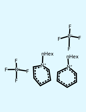 CCCCCC[n+]1ccccc1.CCCCCC[n+]1ccccc1.F[B-](F)(F)F.F[B-](F)(F)F